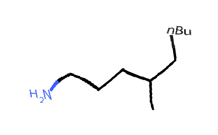 CCCCCC(C)CCCN